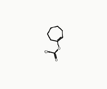 O=C(Cl)OC1=CCCCCC1